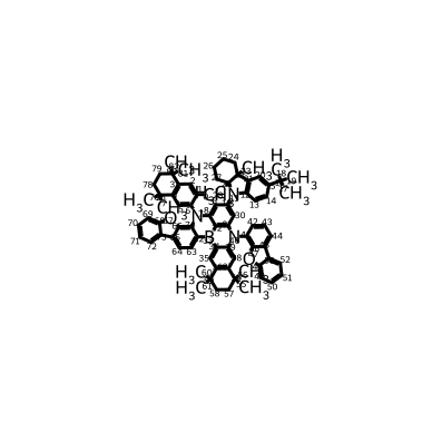 Cc1cc2c(cc1N1c3cc(N4c5ccc(C(C)(C)C)cc5C5(C)CCCCC45C)cc4c3B(c3cc5c(cc3N4c3cccc4c3oc3ccccc34)C(C)(C)CCC5(C)C)c3ccc4c(oc5ccccc54)c31)C(C)(C)CCC2(C)C